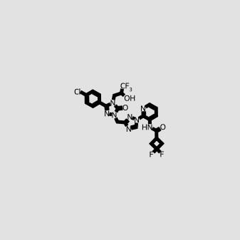 O=C(Nc1cccnc1-n1cnc(Cn2nc(-c3ccc(Cl)cc3)n(CC(O)C(F)(F)F)c2=O)n1)C1CC(F)(F)C1